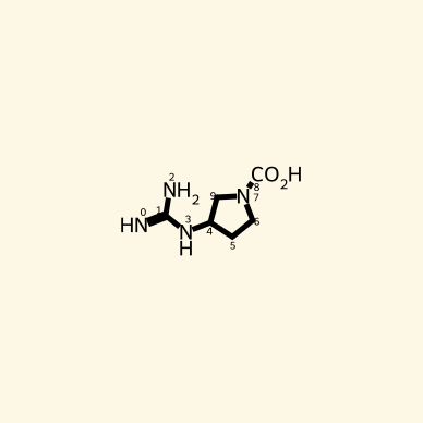 N=C(N)NC1CCN(C(=O)O)C1